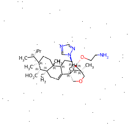 CC(C)[C@@H](C)[C@@]1(C)CC[C@]2(C)[C@H]3CC[C@@H]4[C@@]5(COC[C@]4(C)[C@@H](OCCN)[C@H](n4cncn4)C5)C3=CC[C@@]2(C)[C@@H]1C(=O)O